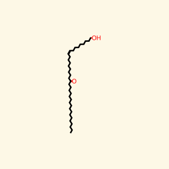 CCCCCCCCCCCCCCCCCC(=O)CCCCCCCC/C=C\CCCCCCCCO